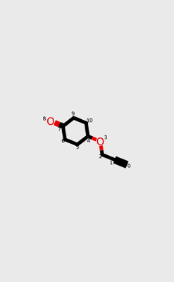 C#CCOC1CCC(=O)CC1